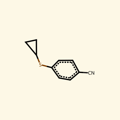 N#Cc1ccc(SC2CC2)cc1